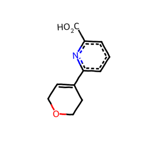 O=C(O)c1cccc(C2=CCOCC2)n1